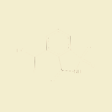 O=C1NS(=O)(=O)c2cccc(C(O)Cl)c21